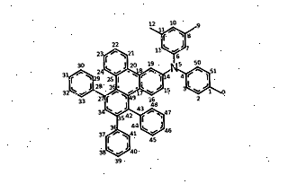 Cc1ccc(N(c2cc(C)cc(C)c2)c2ccc3c(c2)c2ccccc2c2c(-c4ccccc4)cc(-c4ccccc4)c(-c4ccccc4)c32)cc1